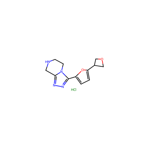 Cl.c1cc(C2COC2)oc1-c1nnc2n1CCNC2